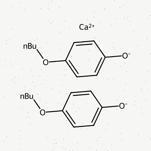 CCCCOc1ccc([O-])cc1.CCCCOc1ccc([O-])cc1.[Ca+2]